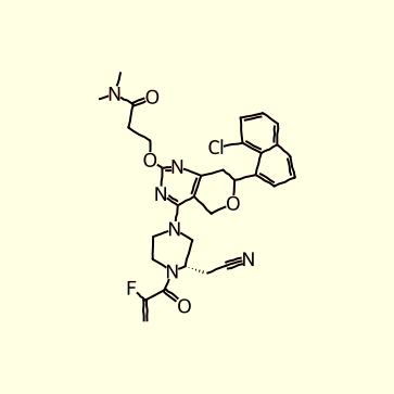 C=C(F)C(=O)N1CCN(c2nc(OCCC(=O)N(C)C)nc3c2COC(c2cccc4cccc(Cl)c24)C3)C[C@@H]1CC#N